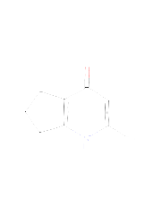 CCc1cc(=O)c2c([nH]1)CCC2